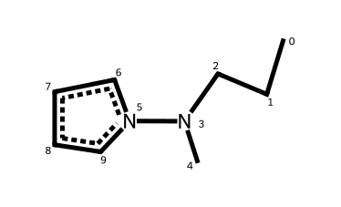 CCCN(C)n1cccc1